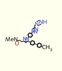 CNC(=O)CCc1cc(-c2ccc(-c3ccc(C)cc3)cc2)n(-c2ccc(-n3cc(CN4CCNCC4)nn3)cc2)n1